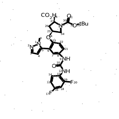 Cn1nccc1-c1cc(NC(=O)Nc2ccc(F)cc2F)ccc1O[C@H]1C[C@@H](C(=O)O)N(C(=O)OC(C)(C)C)C1